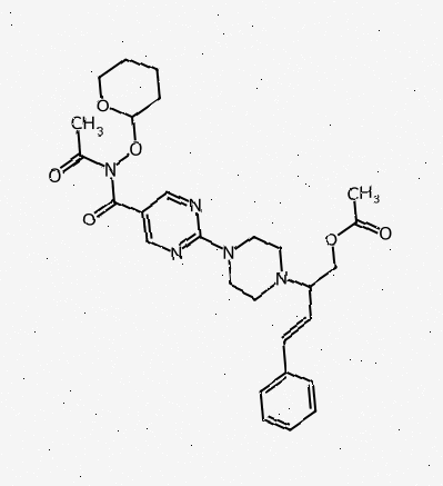 CC(=O)OCC(/C=C/c1ccccc1)N1CCN(c2ncc(C(=O)N(OC3CCCCO3)C(C)=O)cn2)CC1